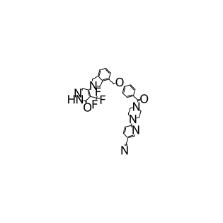 N#Cc1ccc(N2CCN(C(=O)c3ccc(OCc4cccc5c4CN(c4cn[nH]c(=O)c4C(F)(F)F)C5)cc3)CC2)nc1